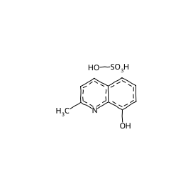 Cc1ccc2cccc(O)c2n1.O=S(=O)(O)O